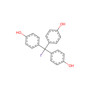 Oc1ccc(C(I)(c2ccc(O)cc2)c2ccc(O)cc2)cc1